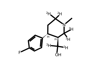 [2H]C([2H])(O)[C@H]1[C@H](c2ccc(F)cc2)CC([2H])([2H])N(C)C1([2H])[2H]